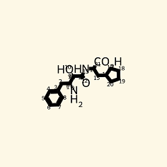 N[C@H](Cc1ccccc1)[C@H](O)C(=O)NC(CC1CCCC1)C(=O)O